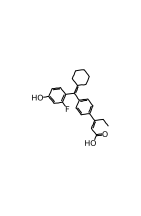 CC/C(=C\C(=O)O)c1ccc(C(=C2CCCCC2)c2ccc(O)cc2F)cc1